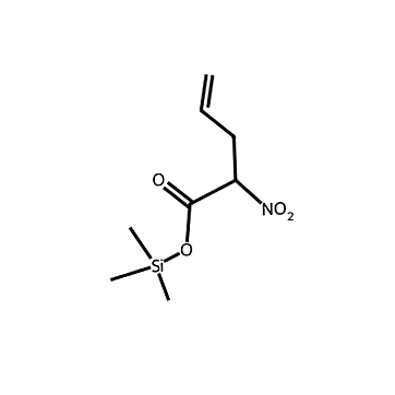 C=CCC(C(=O)O[Si](C)(C)C)[N+](=O)[O-]